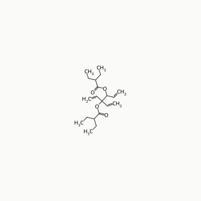 C=CC(OC(=O)C(CC)CC)C(C=C)(C=C)OC(=O)C(CC)CC